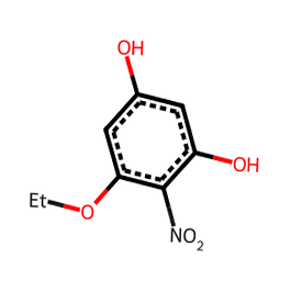 CCOc1cc(O)cc(O)c1[N+](=O)[O-]